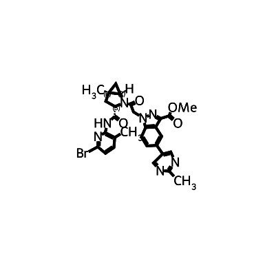 COC(=O)c1nn(CC(=O)N2[C@H](C(=O)Nc3nc(Br)ccc3C)C[C@@]3(C)C[C@@H]23)c2ccc(-c3cnc(C)nc3)cc12